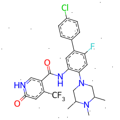 CC1CN(c2cc(F)c(-c3ccc(Cl)cc3)cc2NC(=O)c2c[nH]c(=O)cc2C(F)(F)F)CC(C)N1C